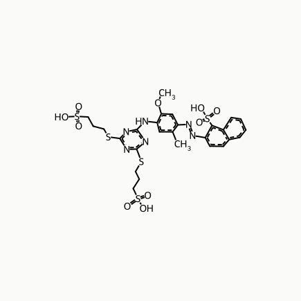 COc1cc(N=Nc2ccc3ccccc3c2S(=O)(=O)O)c(C)cc1Nc1nc(SCCCS(=O)(=O)O)nc(SCCCS(=O)(=O)O)n1